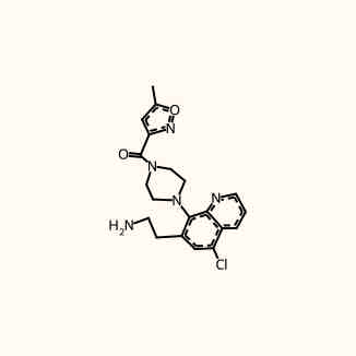 Cc1cc(C(=O)N2CCN(c3c(CCN)cc(Cl)c4cccnc34)CC2)no1